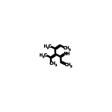 C=CC(=N)C(=C(C)C)/C(C)=C\C